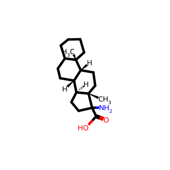 C[C@]12CCCCC1CC[C@@H]1[C@H]2CC[C@@]2(C)[C@H]1CCC2(N)C(=O)O